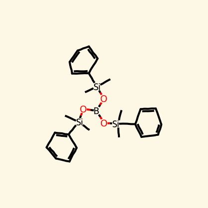 C[Si](C)(OB(O[Si](C)(C)c1ccccc1)O[Si](C)(C)c1ccccc1)c1ccccc1